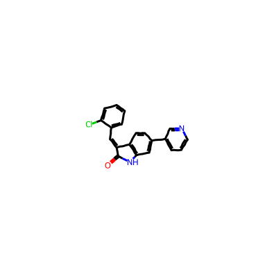 O=C1Nc2cc(-c3cccnc3)ccc2/C1=C\c1ccccc1Cl